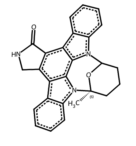 C[C@@]12CCCC(O1)n1c3ccccc3c3c4c(c5c6ccccc6n2c5c31)CNC4=O